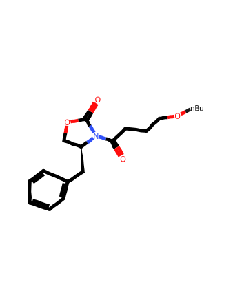 CCCCOCCCC(=O)N1C(=O)OC[C@@H]1Cc1ccccc1